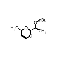 CCCCOC(C)[C@H]1OC=C[C@@H](C)O1